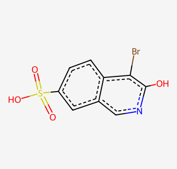 O=S(=O)(O)c1ccc2c(Br)c(O)ncc2c1